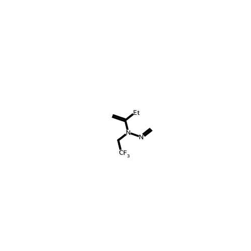 C=NN(CC(F)(F)F)C(=C)CC